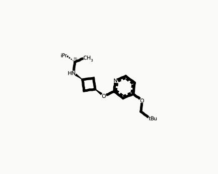 CC(C)[C@H](C)N[C@H]1C[C@@H](Oc2cc(OCC(C)(C)C)ccn2)C1